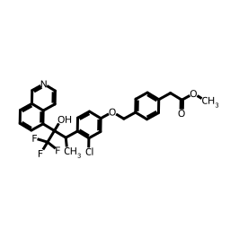 COC(=O)Cc1ccc(COc2ccc(C(C)C(O)(c3cccc4cnccc34)C(F)(F)F)c(Cl)c2)cc1